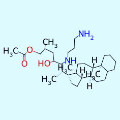 CC(=O)OCC(C)CC(O)C(NCCCN)[C@@H](C)[C@H]1CC[C@H]2[C@@H]3CCC4CCCC[C@]4(C)[C@H]3CC[C@]12C